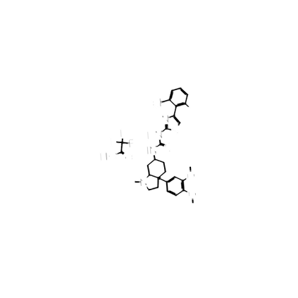 COc1ccc(C23CCC(NC(=O)Nc4nc(-c5c(F)cccc5Cl)cs4)CC2N(C)CC3)cc1OC.O=C(O)C(F)(F)F